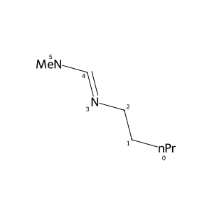 CCCCCN=CNC